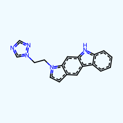 c1ccc2c(c1)[nH]c1cc3c(ccn3CCn3cncn3)cc12